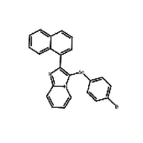 Brc1ccc([Se]c2c(-c3cccc4ccccc34)nc3ccccn23)cc1